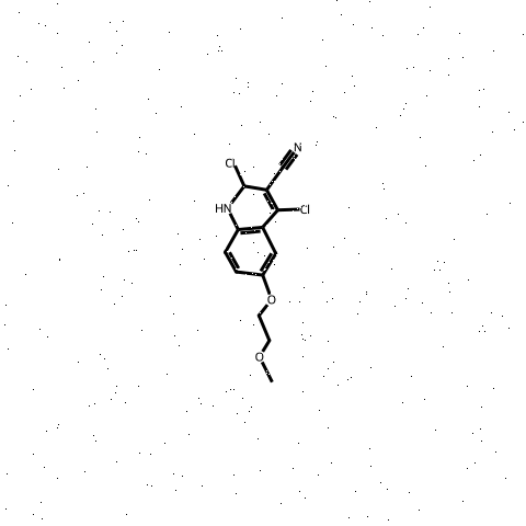 COCCOc1ccc2c(c1)C(Cl)=C(C#N)C(Cl)N2